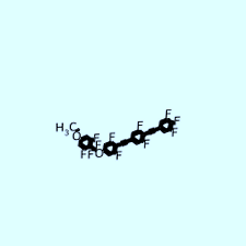 CCOc1cc(F)c(C(F)(F)Oc2cc(F)c(C#Cc3cc(F)c(C#Cc4cc(F)c(F)c(F)c4)c(F)c3)c(F)c2)c(F)c1